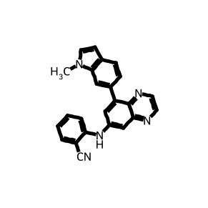 Cn1ccc2ccc(-c3cc(Nc4ccccc4C#N)cc4nccnc34)cc21